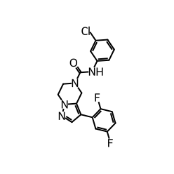 O=C(Nc1cccc(Cl)c1)N1CCn2ncc(-c3cc(F)ccc3F)c2C1